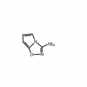 CC(C)(C)c1noc2cccn12